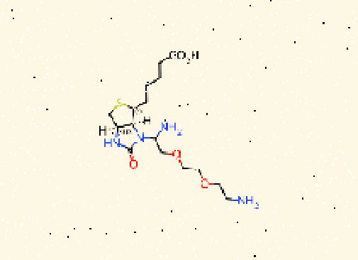 NCCOCCOCC(N)N1C(=O)N[C@H]2CS[C@@H](CCCCC(=O)O)[C@H]21